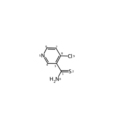 NC(=S)c1cnccc1Cl